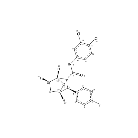 Cc1ccc([C@@H]2[C@@H](C(=O)Nc3ccc(Cl)c(Cl)c3)[C@@H]3O[C@H]2C[C@H]3F)cn1